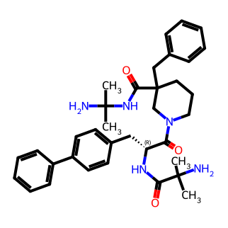 CC(C)(N)NC(=O)C1(Cc2ccccc2)CCCN(C(=O)[C@@H](Cc2ccc(-c3ccccc3)cc2)NC(=O)C(C)(C)N)C1